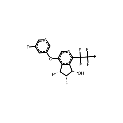 O[C@H]1c2c(C(F)(F)C(F)(F)F)ncc(Oc3cncc(F)c3)c2[C@@H](F)[C@H]1F